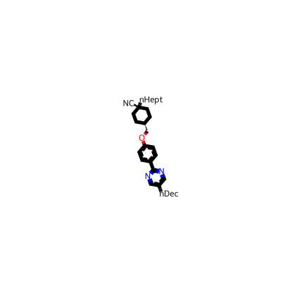 CCCCCCCCCCc1cnc(-c2ccc(OC[C@H]3CC[C@@](C#N)(CCCCCCC)CC3)cc2)nc1